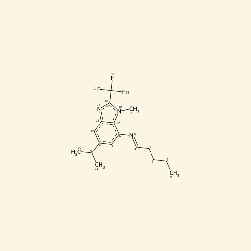 CCCCC=Nc1cc(C(C)C)cc2nc(C(F)(F)F)n(C)c12